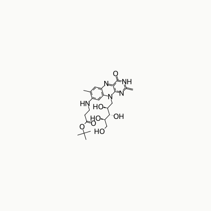 C=c1nc2c(c(=O)[nH]1)=Nc1cc(C)c(NCCC(=O)OC(C)(C)C)cc1N2C[C@H](O)[C@H](O)[C@H](O)CO